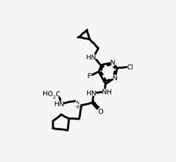 O=C(O)NC[C@@H](CC1CCCC1)C(=O)NNc1nc(Cl)nc(NCC2CC2)c1F